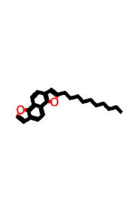 CCCCCCCCCCc1cc2ccc3c(ccc4ccoc43)c2o1